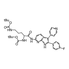 CC(C)(C)OC(=O)NCCCC(NC(=O)OC(C)(C)C)C(=O)Nc1ccc2c(-c3ccncc3)c(-c3ccc(F)cc3)[nH]c2n1